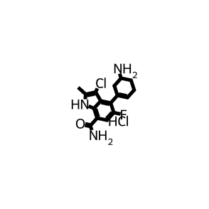 Cc1[nH]c2c(C(N)=O)cc(F)c(C3=CCCC(N)C3)c2c1Cl.Cl